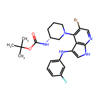 CC(C)(C)OC(=O)N[C@@H]1CCCN(c2c(Br)cnc3[nH]cc(Nc4cccc(F)c4)c23)C1